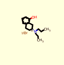 Br.CCCN(CCC)[C@@H]1CCc2cccc(O)c2C1